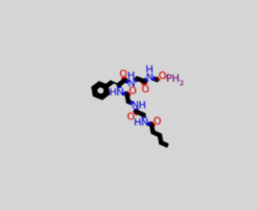 CCCCC(=O)NCC(=O)NCC(=O)N[C@@H](Cc1ccccc1)C(=O)NCC(=O)NCOP